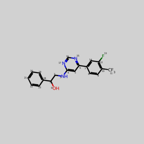 OC(CNc1cc(-c2ccc(C(F)(F)F)c(F)c2)ncn1)c1ccccc1